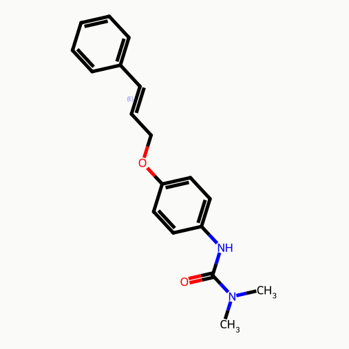 CN(C)C(=O)Nc1ccc(OC/C=C/c2ccccc2)cc1